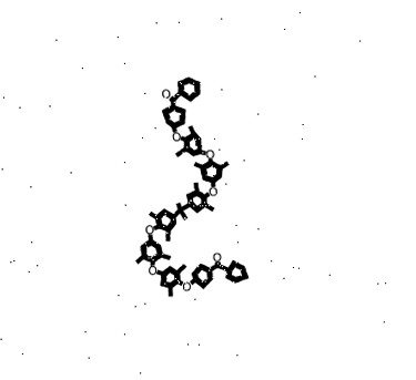 Cc1cc(Oc2c(C)cc(Oc3c(C)cc(C(C)(C)c4cc(C)c(Oc5cc(C)c(Oc6cc(C)c(Oc7ccc(C(=O)c8ccccc8)cc7)c(C)c6)c(C)c5)c(C)c4)cc3C)cc2C)cc(C)c1Oc1ccc(C(=O)c2ccccc2)cc1